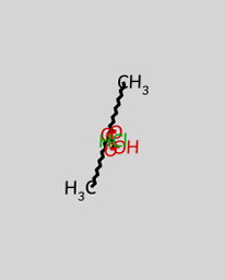 CCCCCCCCCCCC(=O)OC(CCCCCCCCCCC)CC(=O)O.Cl